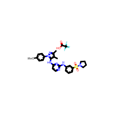 COc1ccc(-n2nc(C)c(C)c2Nc2ccnc(Nc3cccc(S(=O)(=O)N4CCCC4)c3)n2)cc1.O=C(O)C(F)(F)F